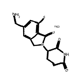 Cl.NCc1cc(F)c2c(c1)CN(C1CCC(=O)NC1=O)C2=O